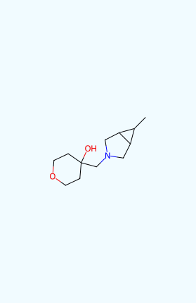 CC1C2CN(CC3(O)CCOCC3)CC12